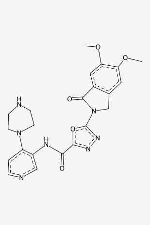 COc1cc2c(cc1OC)C(=O)N(c1nnc(C(=O)Nc3cnccc3N3CCNCC3)o1)C2